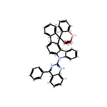 c1ccc(-c2nc(-n3c4ccccc4c4c5c(ccc43)-c3ccccc3C53c4ccccc4Oc4ccccc43)nc3ccccc23)cc1